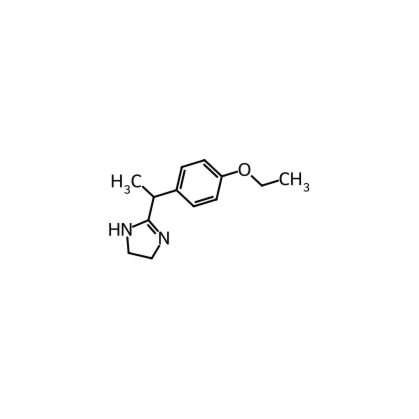 CCOc1ccc(C(C)C2=NCCN2)cc1